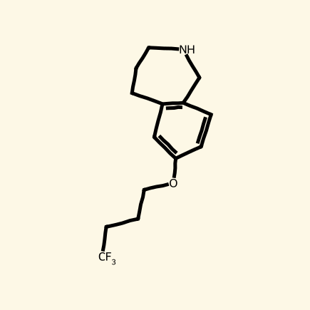 FC(F)(F)CCCOc1ccc2c(c1)CCCNC2